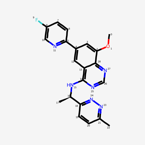 COc1cc(-c2ccc(F)cn2)cc2c(N[C@H](C)c3ccc(C)nn3)ncnc12